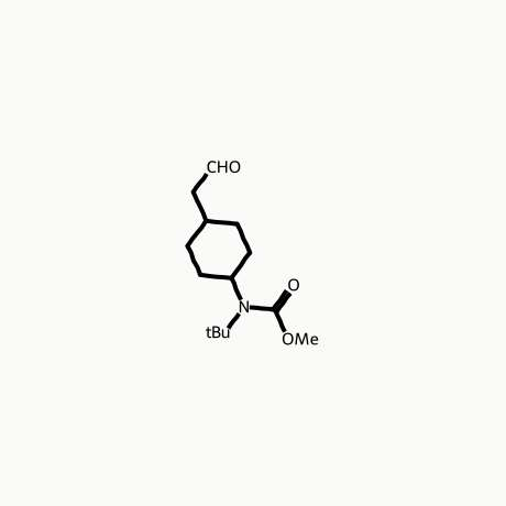 COC(=O)N(C1CCC(CC=O)CC1)C(C)(C)C